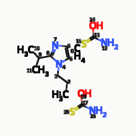 C.CCCn1ccnc1C(C)C.NC(O)=S.NC(O)=S